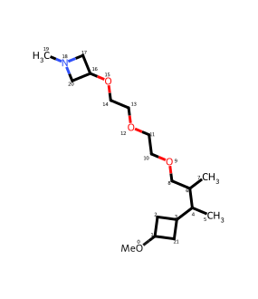 COC1CC(C(C)C(C)COCCOCCOC2CN(C)C2)C1